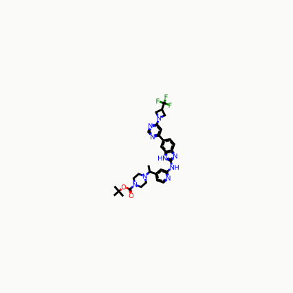 CC(c1ccnc(Nc2nc3ccc(-c4cc(N5CC(C(F)(F)F)C5)ncn4)cc3[nH]2)c1)N1CCN(C(=O)OC(C)(C)C)CC1